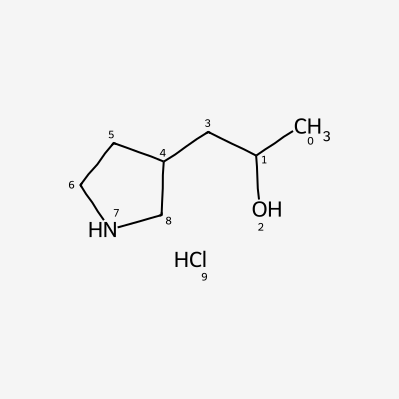 CC(O)CC1CCNC1.Cl